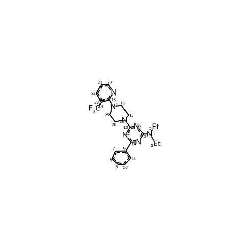 CCN(CC)c1nc(-c2ccccc2)nc(N2CCN(c3ncccc3C(F)(F)F)CC2)n1